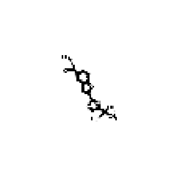 COC(=O)c1ccc2oc(-c3nc(C(C)(C)C)cs3)cc2c1